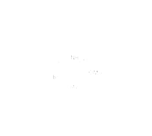 COC(=O)c1cc(OC(C)=O)c(Br)c(F)c1N